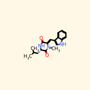 CC(C)C[C@@H]1NC(=O)C(=Cc2c[nH]c3ccccc23)N(C)C1=O